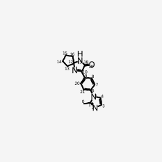 Cc1nccn1-c1ccc(C2=NC3(CCCC3)NC2=O)cc1